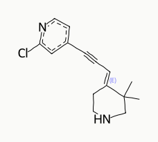 CC1(C)CNCC/C1=C\C#Cc1ccnc(Cl)c1